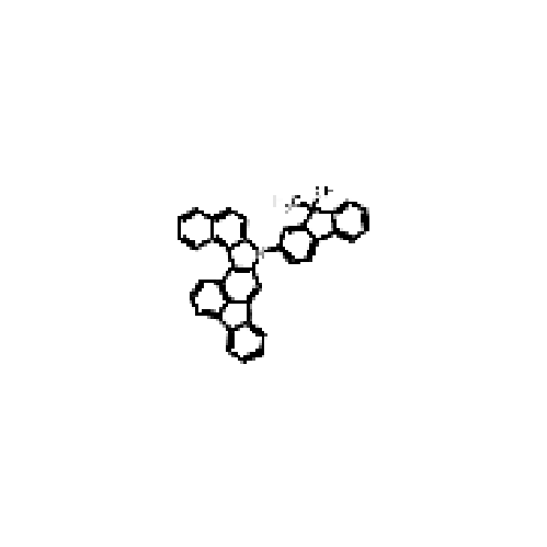 CC1(C)c2ccccc2-c2ccc(-n3c4ccc5ccccc5c4c4c5cccc6c5c(cc43)-c3ccccc3-6)cc21